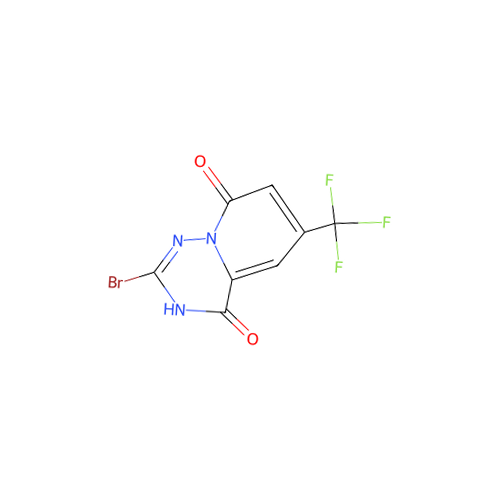 O=c1[nH]c(Br)nn2c(=O)cc(C(F)(F)F)cc12